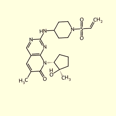 C=CS(=O)(=O)N1CCC(Nc2ncc3cc(C)c(=O)n([C@@H]4CCC[C@@]4(C)O)c3n2)CC1